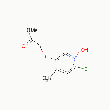 COC(=O)COc1c[n+](O)c(Cl)cc1[N+](=O)[O-]